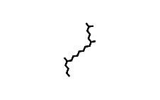 CCCCC(C)CCCCCCCC(C)CCCC(C)C